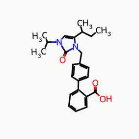 CCC(C)c1cn(C(C)C)c(=O)n1Cc1ccc(-c2ccccc2C(=O)O)cc1